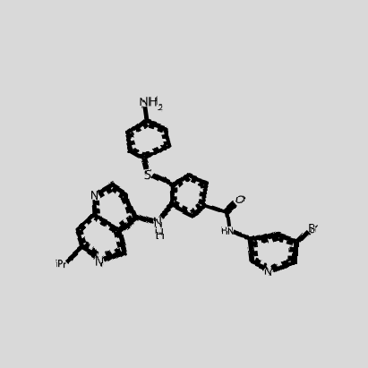 CC(C)c1cc2nccc(Nc3cc(C(=O)Nc4cncc(Br)c4)ccc3Sc3ccc(N)cc3)c2cn1